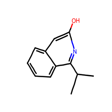 CC(C)c1nc(O)cc2ccccc12